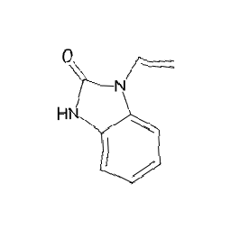 C=Cn1c(=O)[nH]c2ccccc21